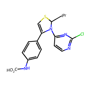 CC(C)C1SC=C(c2ccc(NC(=O)O)cc2)N1c1ccnc(Cl)n1